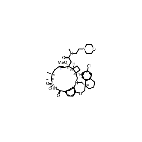 CO[C@@]1(CC(=O)N(C)CCN2CCOCC2)/C=C/C[C@H](C)[C@@H](C)S(=O)(=O)NC(=O)c2ccc3c(c2)N(C[C@@H]2CC[C@H]21)C[C@@]1(CCCc2cc(Cl)ccc21)CO3